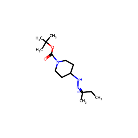 CC/C(C)=N\NC1CCN(C(=O)OC(C)(C)C)CC1